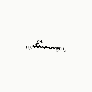 C=CCC(CC=C)CCCCCCCCCCCNC(=O)C=C